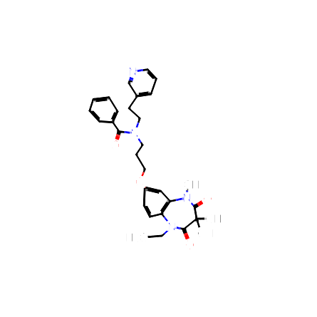 CCN1C(=O)C(C)(C)C(=O)N(C)c2cc(OCCCN(CCc3cccnc3)C(=O)c3ccccc3)ccc21